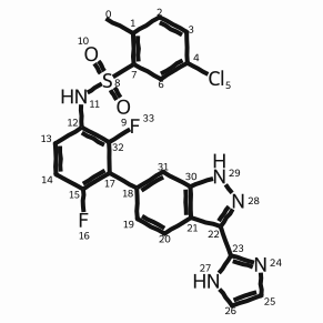 Cc1ccc(Cl)cc1S(=O)(=O)Nc1ccc(F)c(-c2ccc3c(-c4ncc[nH]4)n[nH]c3c2)c1F